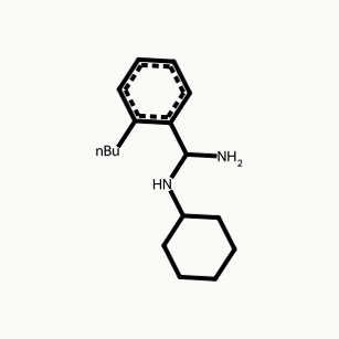 CCCCc1ccccc1C(N)NC1CCCCC1